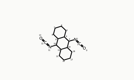 O=C=NC1C2CCCCC2C(N=C=O)C2CCCCC21